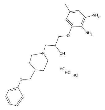 Cc1cc(N)c(N)c(OCC(O)CN2CCC(COc3ccccc3)CC2)c1.Cl.Cl.Cl